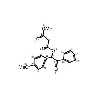 COC(=O)CC(=O)OC(C(=O)c1ccccc1)c1ccc(OC)cc1